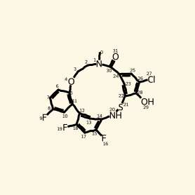 CN1CCOc2ccc(F)cc2-c2cc(c(F)cc2F)NSc2cc(cc(Cl)c2O)C1=O